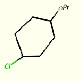 [CH2]CCC1CCC(Cl)CC1